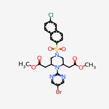 COC(=O)CC1CN(S(=O)(=O)c2ccc3cc(Cl)ccc3c2)CC(CC(=O)OC)N1c1ncc(Br)cn1